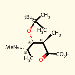 CN[C@@H](C)[C@H](O[Si](C)(C)C(C)(C)C)[C@@H](C)C(=O)C(=O)O